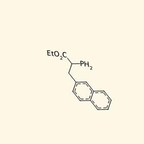 CCOC(=O)C(P)Cc1ccc2ccccc2c1